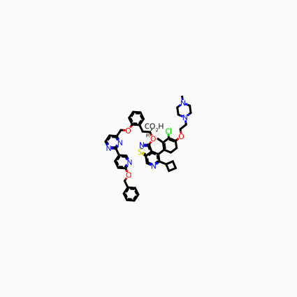 CC1=C(c2c(C3CCC3)ncc3snc(O[C@H](Cc4ccccc4OCc4ccnc(-c5ccc(OCc6ccccc6)nc5)n4)C(=O)O)c23)CCC(OCCN2CCN(C)CC2)=C1Cl